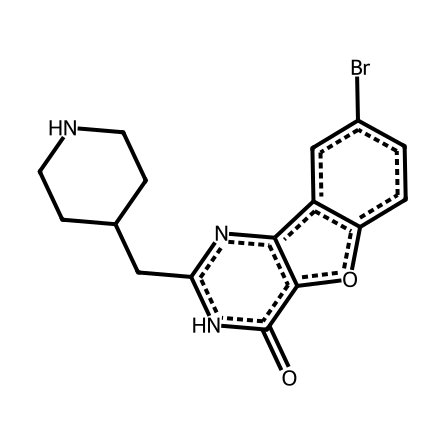 O=c1[nH]c(CC2CCNCC2)nc2c1oc1ccc(Br)cc12